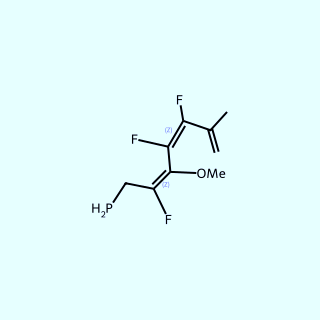 C=C(C)/C(F)=C(F)\C(OC)=C(\F)CP